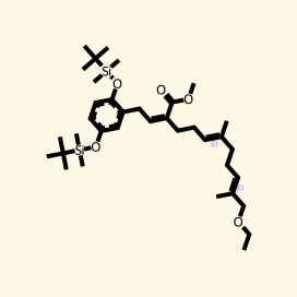 CCOC/C(C)=C/CC/C(C)=C/CCC(=CCc1cc(O[Si](C)(C)C(C)(C)C)ccc1O[Si](C)(C)C(C)(C)C)C(=O)OC